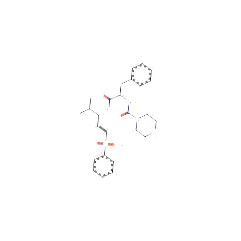 CC(C)[C@@H](/C=C/S(=O)(=O)c1ccccc1)NC(=O)C(Cc1ccccc1)NC(=O)N1CCOCC1